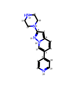 c1cc(-c2ccc3cc(N4CCNCC4)nn3c2)ccn1